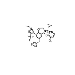 CCn1cc(-c2cc(Cn3ccnc3)cc3c2OCCN([C@H](c2cc(OC)ccn2)C2CC2)C3=O)c(C(F)(F)F)n1